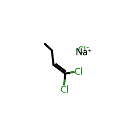 CCC=C(Cl)Cl.[Cl-].[Na+]